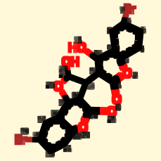 O=c1oc2ccc(Br)cc2c(O)c1C1c2c(c3cc(Br)ccc3oc2=O)OC1O